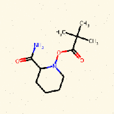 CC(C)(C)C(=O)ON1CCCCC1C(N)=O